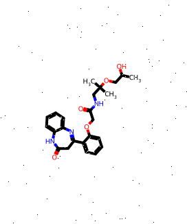 CC(O)COC(C)(C)CNC(=O)COc1ccccc1C1=Nc2ccccc2NC(=O)C1